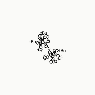 CC(C)(C)c1ccc2c(c1)B1c3sc4ccc(C(C)(C)C)cc4c3N(c3ccc4c(c3)C(C)(C)CCC4(C)C)c3cc(N(c4ccccc4)c4cccc(CC(C)(C)c5ccc6c(c5)B5c7sc8ccc(C(C)(C)C)cc8c7N(c7ccc8c(c7)C(C)(C)CCC8(C)C)c7cc(N8c9ccccc9C9(C)CCCCC89C)cc(c75)N6c5ccc6c(c5)C(C)(C)CCC6(C)C)c4)cc(c31)N2c1ccc2c(c1)C(C)(C)CCC2(C)C